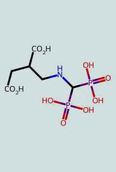 O=C(O)CC(CNC(P(=O)(O)O)P(=O)(O)O)C(=O)O